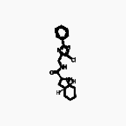 O=C(NCc1nc(-c2ccccc2)sc1Cl)[C@@H]1C[C@@H]2CCCC[C@@H]2N1